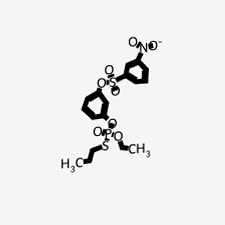 CCCSP(=O)(OCC)Oc1cccc(OS(=O)(=O)c2cccc([N+](=O)[O-])c2)c1